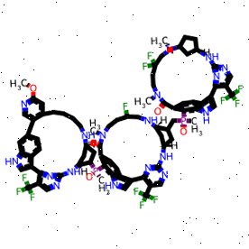 COc1cc2c(cn1)-c1ccc3c(c[nH]c3c1)-c1nc(ncc1C(F)(F)F)N[C@@H]1C[C@H](CC1P(C)(=O)c1c3ccc4c(c[nH]c14)-c1nc(ncc1C(F)(F)F)N[C@H]1CC(CP(C)(=O)c4c5ccc6c(c[nH]c46)-c4nc(ncc4C(F)(F)F)N[C@H]4CC[C@@H](C4)N(C)CC(F)(F)CCN(C)C5=O)[C@@H](C1)NCC(F)CCN(C)C3=O)NCCCC2